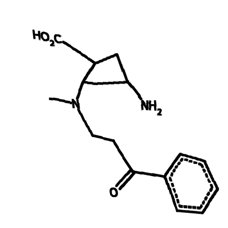 CN(CCC(=O)c1ccccc1)C1C(N)CC1C(=O)O